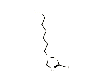 CCCCCCCN1CN=C(S)O1